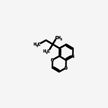 CCC(C)(C)c1ccnc2c1OC=CO2